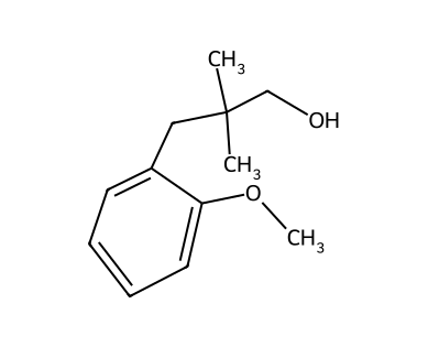 COc1ccccc1CC(C)(C)CO